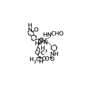 Cc1cc2ccc1[C@@H](C)COC(=O)Nc1cccc(c1)CN(CCNC=O)C(=O)[C@@H]2Nc1ccc2cc[nH]c(=O)c2c1